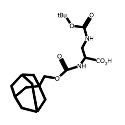 CC(C)(C)OC(=O)NCC(NC(=O)OCC12CC3CC(CC(C3)C1)C2)C(=O)O